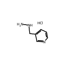 Cl.NNCc1cccnc1